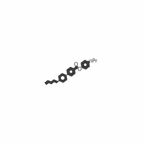 C=CCCC[C@H]1CC[C@H](c2ccc(C(=O)Oc3ccc(CCC)cc3)cc2)CC1